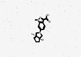 CCCC(=O)c1nn(C)c2cc(N3C[C@H]4CCC[C@H]4C3)ccc12